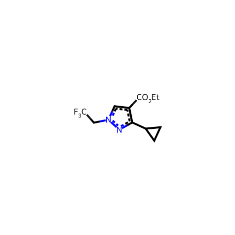 CCOC(=O)c1cn(CC(F)(F)F)nc1C1CC1